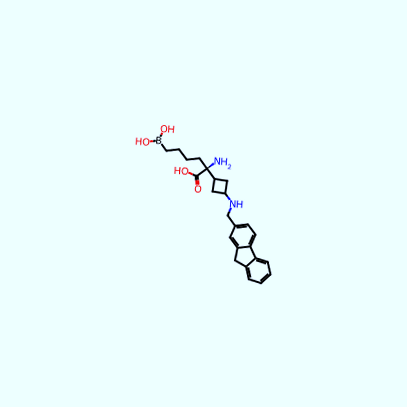 N[C@](CCCCB(O)O)(C(=O)O)C1CC(NCc2ccc3c(c2)Cc2ccccc2-3)C1